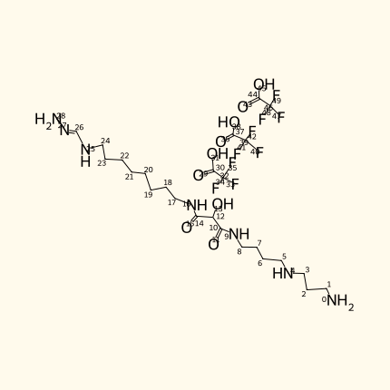 NCCCNCCCCNC(=O)C(O)C(=O)NCCCCCCCCNC=NN.O=C(O)C(F)(F)F.O=C(O)C(F)(F)F.O=C(O)C(F)(F)F